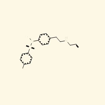 C=CCNCCc1ccc(N(C)S(=O)(=O)c2ccc(C(C)C)cc2)cc1